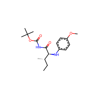 CC[C@H](C)[C@H](Nc1ccc(OC)cc1)C(=O)NC(=O)OC(C)(C)C